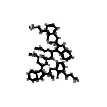 COCCC(OC(=O)OC(CCOC)n1c([S+]([O-])Cc2nccc(OCC(F)(F)F)c2C)nc2ccccc21)n1c([S+]([O-])Cc2nccc(OCC(F)(F)F)c2C)nc2ccccc21